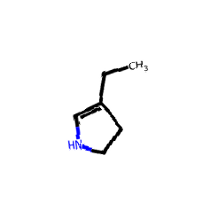 CCC1=CNCC1